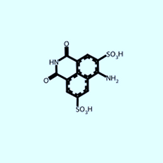 Nc1c(S(=O)(=O)O)cc2c3c(cc(S(=O)(=O)O)cc13)C(=O)NC2=O